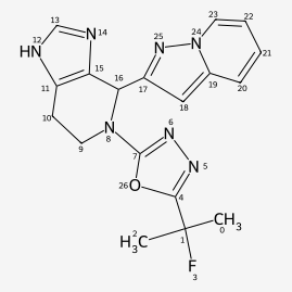 CC(C)(F)c1nnc(N2CCc3[nH]cnc3C2c2cc3ccccn3n2)o1